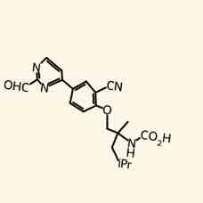 CC(C)CC(C)(COc1ccc(-c2ccnc(C=O)n2)cc1C#N)NC(=O)O